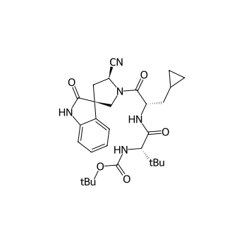 CC(C)(C)OC(=O)N[C@H](C(=O)N[C@@H](CC1CC1)C(=O)N1C[C@]2(C[C@H]1C#N)C(=O)Nc1ccccc12)C(C)(C)C